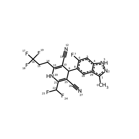 Cc1n[nH]c2cc(F)c(C3C(C#N)=C(CCC(F)(F)F)NC(C(F)F)=C3C#N)cc12